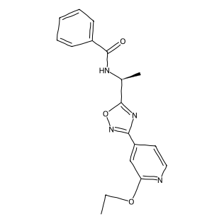 CCOc1cc(-c2noc([C@H](C)NC(=O)c3ccccc3)n2)ccn1